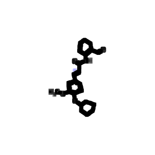 COc1cc(/C=C/C(=O)NC2=C(C=O)CCC=C2)ccc1OC1CCCCC1